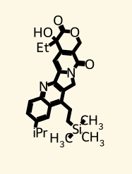 CCC1(O)C(=O)OCc2c1cc1n(c2=O)Cc2c-1nc1ccc(C(C)C)cc1c2CC[Si](C)(C)C